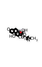 Cn1cc([C@@H]2O[C@@H]3C[C@H]4[C@@H]5CCC6=CC(=O)C=C[C@]6(C)[C@H]5[C@@H](O)C[C@]4(C)[C@]3(C(=O)CO)O2)cn1